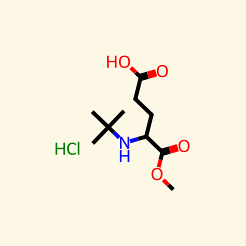 COC(=O)C(CCC(=O)O)NC(C)(C)C.Cl